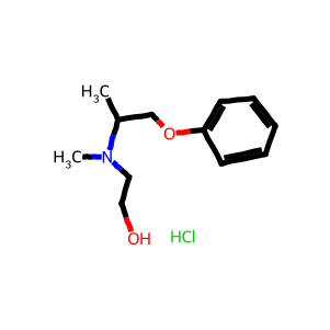 CC(COc1ccccc1)N(C)CCO.Cl